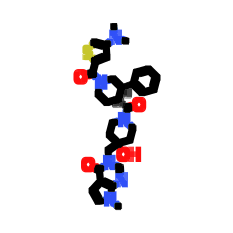 CN(C)c1csc(C(=O)N2CC[C@@H](C(=O)N3CCC(O)(Cn4cnc5c(ccn5C)c4=O)CC3)[C@H](c3ccccc3)C2)c1